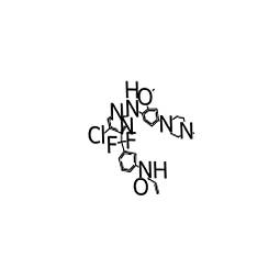 C=CC(=O)Nc1cccc(C(F)(F)c2nc(Nc3ccc(N4CCN(C)CC4)cc3OC)ncc2Cl)c1